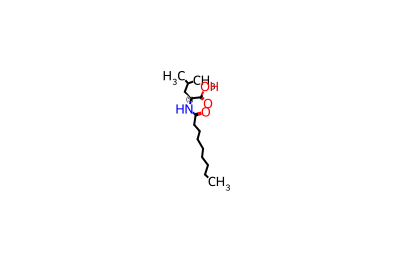 CCCCCCCCC(=O)N[C@@H](CC(C)C)C(=O)O